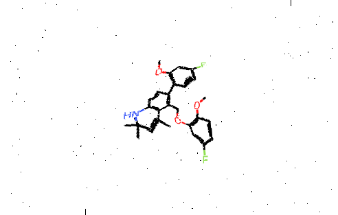 COc1ccc(F)cc1OCc1c(-c2ccc(F)cc2OC)ccc2c1C(C)=CC(C)(C)N2